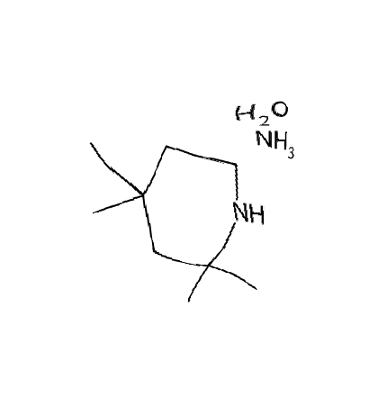 CC1(C)CCNC(C)(C)C1.N.O